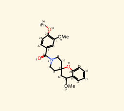 COc1cc(C(=O)N2CCC3(CC2)CC(OC)c2ccccc2O3)ccc1OC(C)C